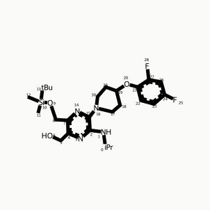 CC(C)Nc1nc(CO)c(CO[Si](C)(C)C(C)(C)C)nc1N1CCC(Oc2ccc(F)cc2F)CC1